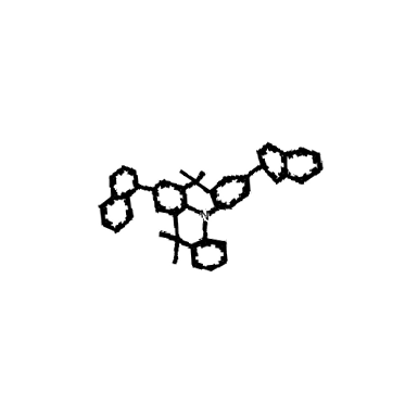 CC1(C)c2ccccc2N2c3ccc(-c4ccc5ccccc5c4)cc3C(C)(C)c3cc(-c4cccc5ccccc45)cc1c32